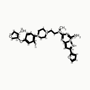 CN(CCN1CCN(c2ccc(O[C@H]3COC[C@@H]3O)cc2F)CC1)c1nc(N)n2nc(-c3ccco3)cc2n1